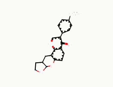 COc1ccc(-c2coc3c4c(ccc3c2=O)OC2OCCC2C4)cc1